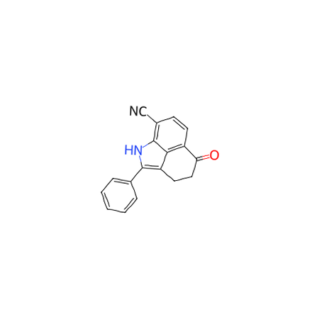 N#Cc1ccc2c3c(c(-c4ccccc4)[nH]c13)CCC2=O